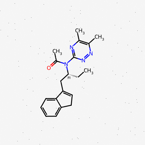 CC[C@H](CC1=CCc2ccccc21)N(C(C)=O)c1nnc(C)c(C)n1